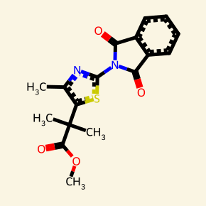 COC(=O)C(C)(C)c1sc(N2C(=O)c3ccccc3C2=O)nc1C